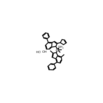 CC1=Cc2c(-c3ccccc3)ccc(C)c2[CH]1[Zr]([CH3])([CH3])(=[SiH2])[CH]1C(C2CC=CC2)=Cc2c(-c3ccccc3)cccc21.Cl.Cl